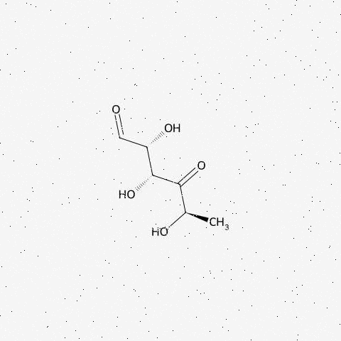 C[C@@H](O)C(=O)[C@H](O)[C@@H](O)C=O